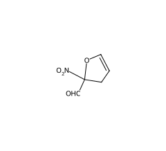 O=CC1([N+](=O)[O-])CC=CO1